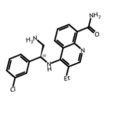 CCc1cnc2c(C(N)=O)cccc2c1N[C@H](CN)c1cccc(Cl)c1